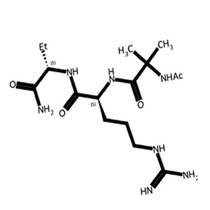 CC[C@H](NC(=O)[C@H](CCCNC(=N)N)NC(=O)C(C)(C)NC(C)=O)C(N)=O